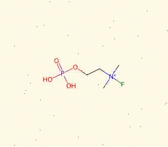 C[N+](C)(F)CCOP(=O)(O)O